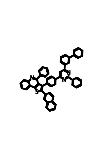 c1ccc(-c2cccc(-c3cc(-c4ccc(-c5c(-c6ccc7ccccc7c6)sc6c5c(-c5ccccc5)nc5ccccc56)cc4)nc(-c4ccccc4)n3)c2)cc1